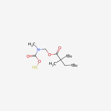 CN(COC(=O)C(C)(CC(C)(C)C)C(C)(C)C)C(=O)OS